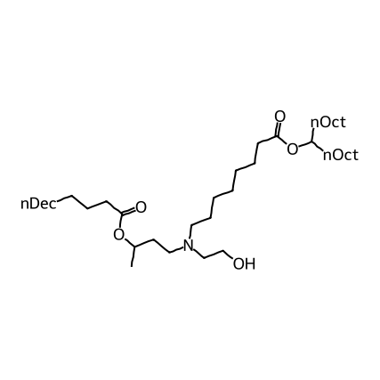 CCCCCCCCCCCCCC(=O)OC(C)CCN(CCO)CCCCCCCC(=O)OC(CCCCCCCC)CCCCCCCC